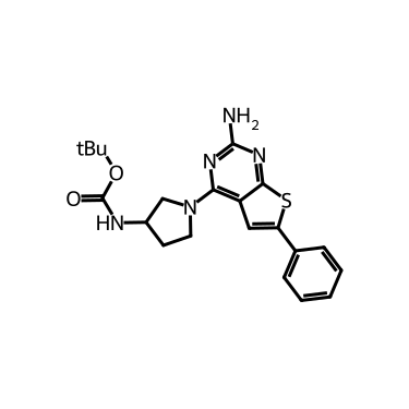 CC(C)(C)OC(=O)NC1CCN(c2nc(N)nc3sc(-c4ccccc4)cc23)C1